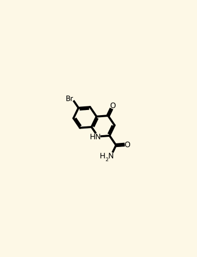 NC(=O)c1cc(=O)c2cc(Br)ccc2[nH]1